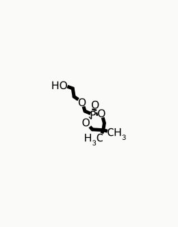 CC1(C)COP(=O)(COCCO)OC1